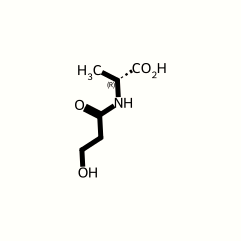 C[C@@H](NC(=O)CCO)C(=O)O